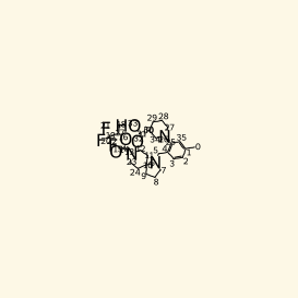 Cc1ccc(CN2CCCC23CCN(C(=O)OC(C)C(F)(F)F)CC3)c(N2CCC[C@@H](C(=O)O)C2)c1